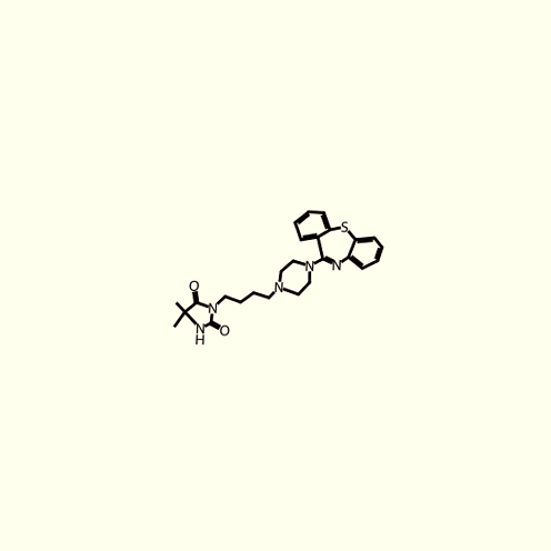 CC1(C)NC(=O)N(CCCCN2CCN(C3=Nc4ccccc4Sc4ccccc43)CC2)C1=O